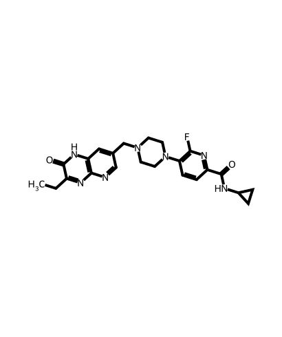 CCc1nc2ncc(CN3CCN(c4ccc(C(=O)NC5CC5)nc4F)CC3)cc2[nH]c1=O